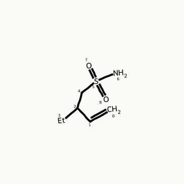 C=CC(CC)CS(N)(=O)=O